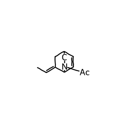 C/C=C1\CC2C=CC1N(C(C)=O)C2